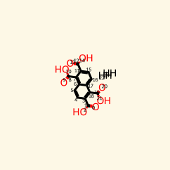 O=C(O)c1ccc2c(C(=O)O)c(C(=O)O)ccc2c1C(=O)O.[HH].[HH]